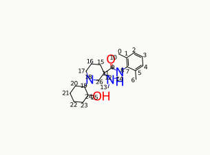 Cc1cccc(C)c1NC(=O)C1(N(C)C)CCCN(C2CCCCC2O)C1